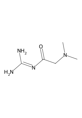 CN(C)CC(=O)N=C(N)N